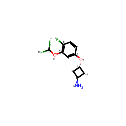 N[C@H]1C[C@H](Oc2ccc(F)c(OC(F)F)c2)C1